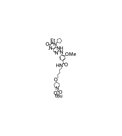 CC[C@@H]1C(=O)N(C)c2cnc(Nc3ccc(C(=O)NCCCCCOC4CCN(C(=O)OC(C)(C)C)CC4)cc3OC)nc2N1C1CCCC1